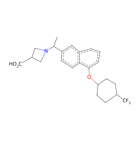 CC(c1ccc2c(OC3CCC(C(F)(F)F)CC3)cccc2c1)N1CC(C(=O)O)C1